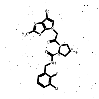 CC(=O)c1cn(CC(=O)N2C[C@H](F)C[C@H]2C(=O)NCc2cccc(Cl)c2F)c2sc(C)nc12